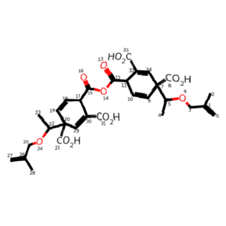 C=C(C)COC(C)C1(C(=O)O)C=CC(C(=O)OC(=O)C2C=CC(C(=O)O)(C(C)OCC(=C)C)C=C2C(=O)O)C(C(=O)O)=C1